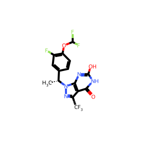 C[C@H](c1ccc(OC(F)F)c(F)c1)n1nc(C(F)(F)F)c2c(=O)[nH]c(O)nc21